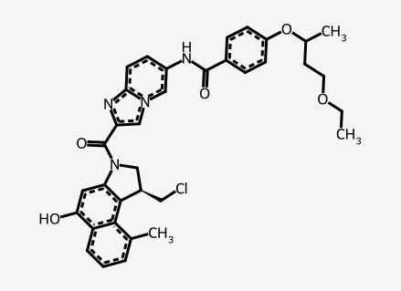 CCOCCC(C)Oc1ccc(C(=O)Nc2ccc3nc(C(=O)N4C[C@@H](CCl)c5c4cc(O)c4cccc(C)c54)cn3c2)cc1